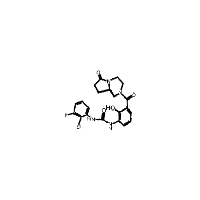 O=C(Nc1cccc(C(=O)N2CCN3C(=O)CCC3C2)c1O)Nc1cccc(F)c1Cl